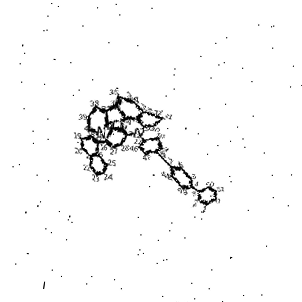 c1ccc(-c2ccc(-c3ccc(N(c4ccc(-c5cccc6ccccc56)cc4)c4cccc5ccc6c7cccnc7oc6c45)cc3)cc2)cc1